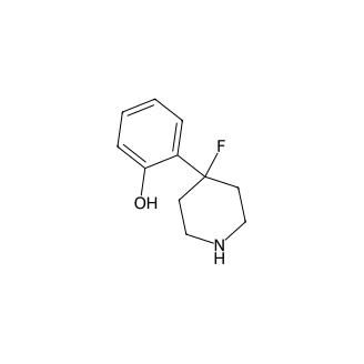 Oc1ccccc1C1(F)CCNCC1